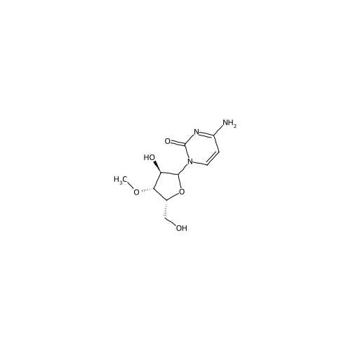 CO[C@H]1[C@@H](CO)OC(n2ccc(N)nc2=O)[C@@H]1O